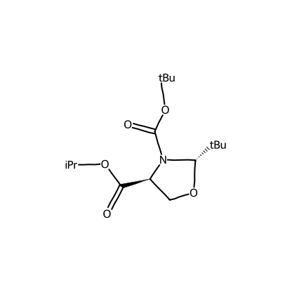 CC(C)OC(=O)[C@@H]1CO[C@@H](C(C)(C)C)N1C(=O)OC(C)(C)C